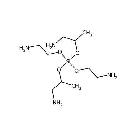 CC(CN)O[Si](OCCN)(OCCN)OC(C)CN